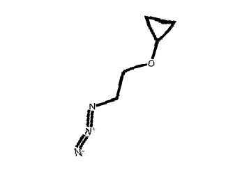 [N-]=[N+]=NCCOC1CC1